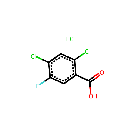 Cl.O=C(O)c1cc(F)c(Cl)cc1Cl